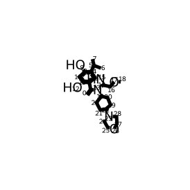 C=C(c1cc(C(C)C)c(O)cc1O)N(C(=N)COC)C1CCC(N2CCOCC2)CC1